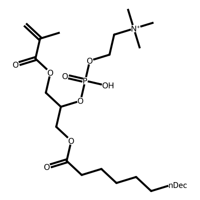 C=C(C)C(=O)OCC(COC(=O)CCCCCCCCCCCCCCC)OP(=O)(O)OCC[N+](C)(C)C